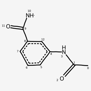 CC(=O)Nc1cccc(C([NH])=O)c1